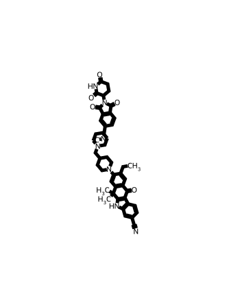 CCc1cc2c(cc1N1CCC(CN3CC4CCC3CN4c3ccc4c(c3)C(=O)N(C3CCC(=O)NC3=O)C4=O)CC1)C(C)(C)c1[nH]c3cc(C#N)ccc3c1C2=O